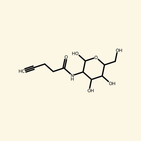 C#CCCC(=O)NC1C(O)OC(CO)C(O)C1O